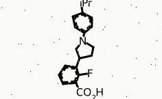 CC(C)c1ccc(N2CCC(c3cccc(C(=O)O)c3F)C2)cc1